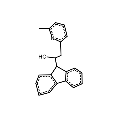 Cc1cccc(CC(O)C2c3ccccc3-c3ccccc32)n1